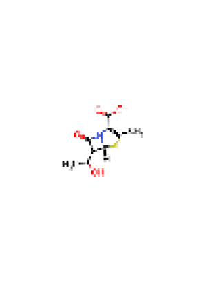 CC1=C(C(=O)O)N2C(=O)[C@H](C(C)O)[C@H]2S1